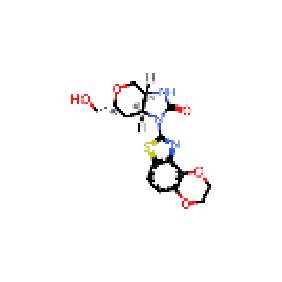 O=C1N[C@H]2CO[C@@H](CO)C[C@H]2N1c1nc2c3c(ccc2s1)OCCO3